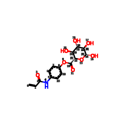 C=CC(=O)Nc1ccc(OC(=O)[C@H]2O[C@@H](O)[C@H](O)[C@@H](O)[C@@H]2O)cc1